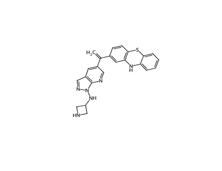 C=C(c1ccc2c(c1)Nc1ccccc1S2)c1cnc2c(cnn2NC2CNC2)c1